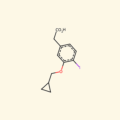 O=C(O)Cc1ccc(I)c(OCC2CC2)c1